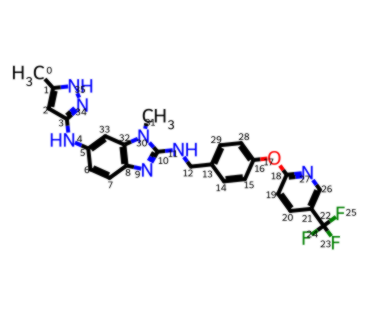 Cc1cc(Nc2ccc3nc(NCc4ccc(Oc5ccc(C(F)(F)F)cn5)cc4)n(C)c3c2)n[nH]1